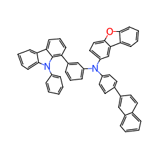 c1ccc(-n2c3ccccc3c3cccc(-c4cccc(N(c5ccc(-c6ccc7ccccc7c6)cc5)c5ccc6oc7ccccc7c6c5)c4)c32)cc1